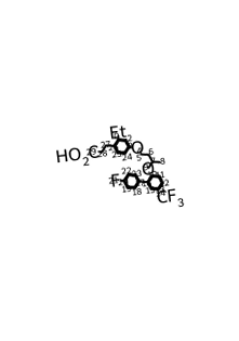 CCc1cc(OCCC(C)Oc2ccc(C(F)(F)F)cc2-c2ccc(F)cc2)ccc1CCC(=O)O